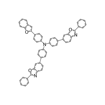 c1ccc(-c2nc3ccc(-c4ccc(N(c5ccc(-c6ccc7nc(-c8ccccc8)oc7c6)cc5)c5ccc(-c6cc7ccccc7o6)cc5)cc4)cc3o2)cc1